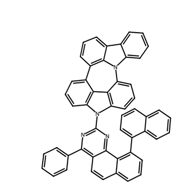 c1ccc(-c2nc(-n3c4cccc5c6cccc7c8ccccc8n(c8cccc3c8c54)c67)nc3c2ccc2cccc(-c4cccc5ccccc45)c23)cc1